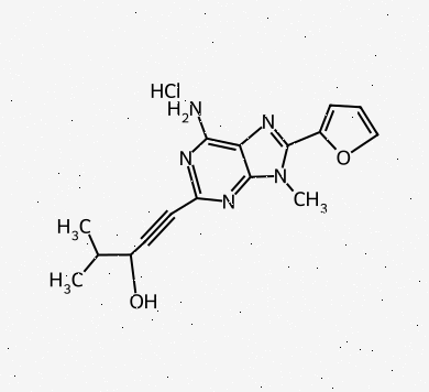 CC(C)C(O)C#Cc1nc(N)c2nc(-c3ccco3)n(C)c2n1.Cl